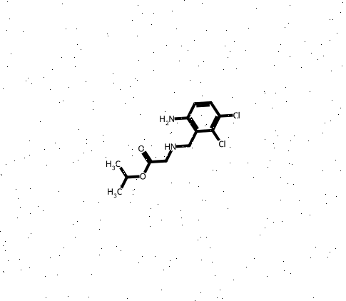 CC(C)OC(=O)CNCc1c(N)ccc(Cl)c1Cl